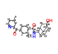 CCc1cc(C(=O)c2cc(C)ccn2)ccc1C(=O)NC1C2CC3CC1CC(O)(C3)C2